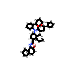 c1ccc(-c2ccc(N(c3ccccc3-c3ccccc3)c3ccc(-c4nc5c(ccc6ccccc65)o4)c4ccccc34)cc2)cc1